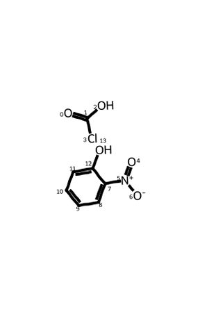 O=C(O)Cl.O=[N+]([O-])c1ccccc1O